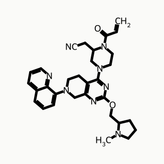 C=CC(=O)N1CCN(c2nc(OCC3CCCN3C)nc3c2CCN(c2cccc4cccnc24)C3)CC1CC#N